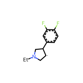 CCN1C[CH]C(c2ccc(F)c(F)c2)C1